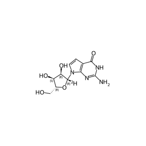 [2H][C@@]1(n2ccc3c(=O)[nH]c(N)nc32)O[C@H](CO)[C@@H](O)[C@H]1O